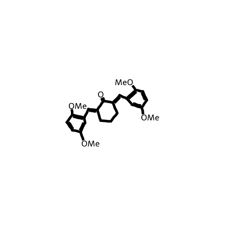 COc1ccc(OC)c(C=C2CCCC(=Cc3cc(OC)ccc3OC)C2=O)c1